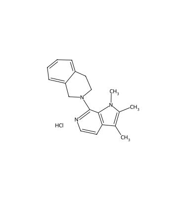 Cc1c(C)n(C)c2c(N3CCc4ccccc4C3)nccc12.Cl